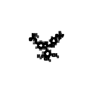 C[C@H]1C[C@@H](n2c(Nc3ccc(OC(F)(F)F)cc3)nc3cc(C=CC(N)=O)ccc32)CC(C)(C)C1